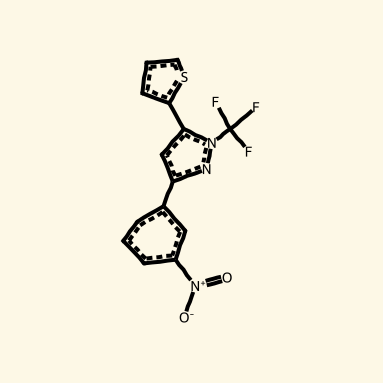 O=[N+]([O-])c1cccc(-c2cc(-c3cccs3)n(C(F)(F)F)n2)c1